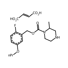 CCCOc1ccc(F)c(COC(=O)N2CCNCC2C)c1.O=C(O)C=CC(=O)O